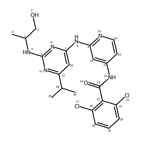 CC(CO)Nc1nc(Nc2cc(NC(=O)c3c(Cl)cccc3Cl)ccn2)cc(C(C)C)n1